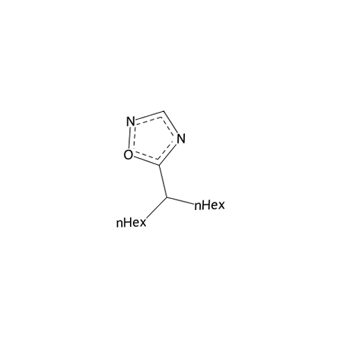 CCCCCCC(CCCCCC)c1ncno1